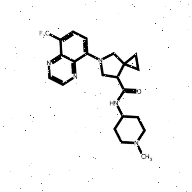 CN1CCC(NC(=O)C2CN(c3ccc(C(F)(F)F)c4nccnc34)CC23CC3)CC1